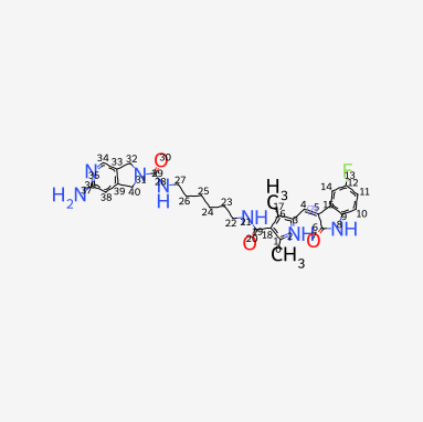 Cc1[nH]c(/C=C2\C(=O)Nc3ccc(F)cc32)c(C)c1C(=O)NCCCCCCNC(=O)N1Cc2cnc(N)cc2C1